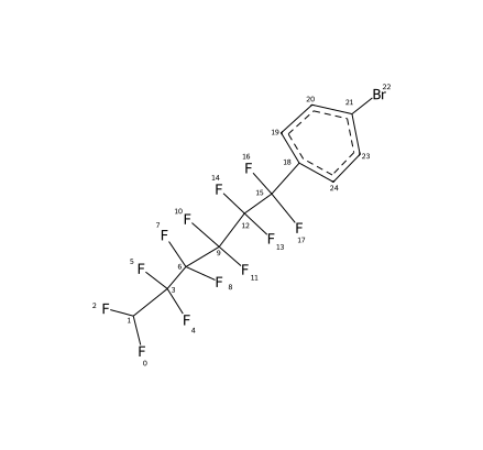 FC(F)C(F)(F)C(F)(F)C(F)(F)C(F)(F)C(F)(F)c1ccc(Br)cc1